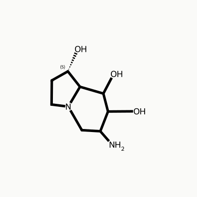 NC1CN2CC[C@H](O)C2C(O)C1O